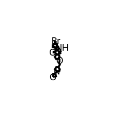 CC1(C)C2=C(CCC(OCCC3CCN(C4COC4)CC3)=C2)C(=O)c2c1[nH]c1cc(Br)ccc21